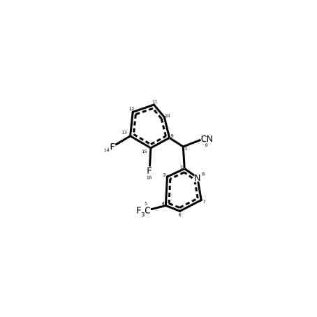 N#CC(c1cc(C(F)(F)F)ccn1)c1cccc(F)c1F